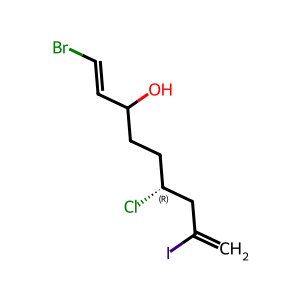 C=C(I)C[C@H](Cl)CCC(O)C=CBr